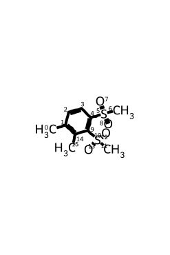 Cc1ccc(S(C)(=O)=O)c(S(C)(=O)=O)c1C